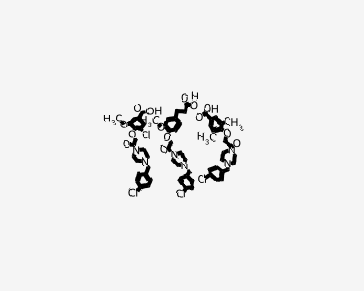 COc1cc(C(=O)O)cc(Cl)c1OCC(=O)N1CCN(Cc2ccc(Cl)cc2)CC1.COc1cc(CCC(=O)O)ccc1OCC(=O)N1CCN(Cc2ccc(Cl)cc2)CC1.Cc1cc(C(=O)O)cc(C)c1OCC(=O)N1CCN(Cc2ccc(Cl)cc2)CC1